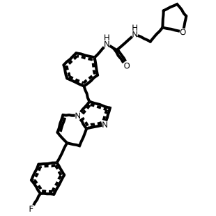 O=C(NCC1CCCO1)Nc1cccc(-c2cnc3n2C=CC(c2ccc(F)cc2)C3)c1